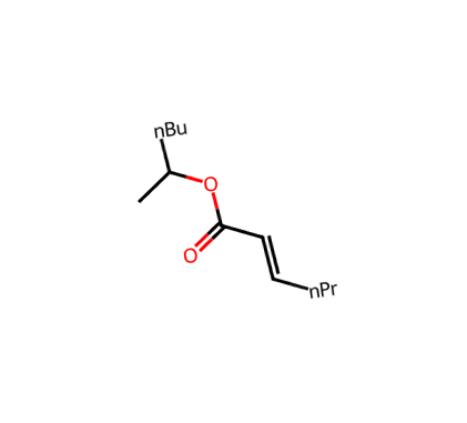 CCC/C=C/C(=O)OC(C)CCCC